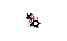 CCC1(OC(O)C(C)(C)CC)CCCCC1